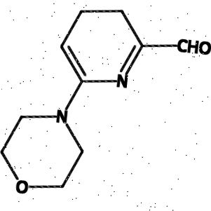 O=CC1=NC(N2CCOCC2)=CCC1